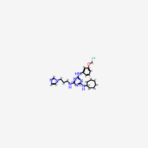 FCOc1cccc(Nc2nc(NCCCn3ccnc3)nc(NC3CCCCCC3)n2)c1